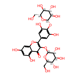 O=c1c(O[C@@H]2O[C@H](CO)[C@@H](O)[C@H](O)[C@H]2O)c(-c2cc(O)c(O[C@@H]3O[C@H](CO)[C@@H](O)[C@H](O)[C@H]3O)c(O)c2)oc2cc(O)cc(O)c12